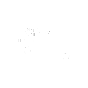 COC(=O)CCS[C@H](c1ccccc1CCCCCCCCc1ccccc1)[C@@H](O)c1nnn[nH]1